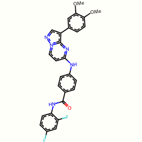 COc1ccc(-c2cnn3ccc(Nc4ccc(C(=O)Nc5ccc(F)cc5F)cc4)nc23)cc1OC